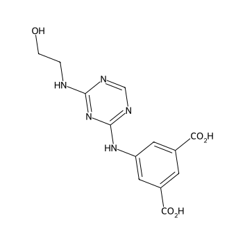 O=C(O)c1cc(Nc2ncnc(NCCO)n2)cc(C(=O)O)c1